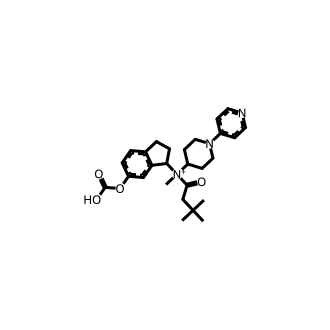 CC(C)(C)CC(=O)[N+](C)(C1CCN(c2ccncc2)CC1)C1CCc2ccc(OC(=O)O)cc21